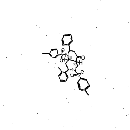 Cc1ccc(S(=O)(=O)N2C[C@H]3C(=O)CC(c4ccccc4)N(S(=O)(=O)c4ccc(C)cc4)[C@H]3CC2c2ccccc2C)cc1